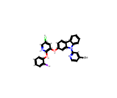 CC(C)(C)c1ccnc(-n2c3ccccc3c3ccc(Oc4cc(Cl)cnc4Oc4ccccc4I)cc32)c1